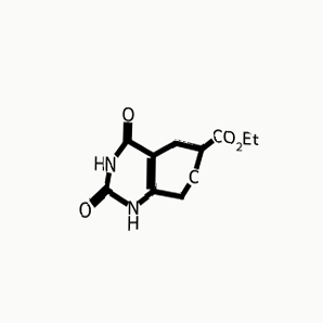 CCOC(=O)C1CCc2[nH]c(=O)[nH]c(=O)c2C1